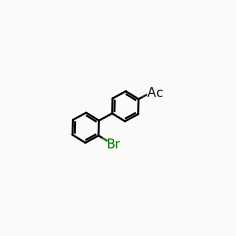 CC(=O)c1ccc(-c2ccccc2Br)cc1